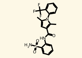 Cc1cc(C(=O)Nc2ccccc2S(N)(=O)=O)c(C)n1-c1ccccc1C(F)(F)F